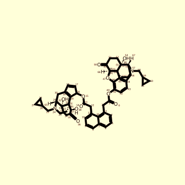 O=C(Cc1cccc2cccc(CC(=O)OC3C=CC4=C3[C@]35CCN(CC6CC6)[C@H](C4)[C@]3(O)CCC(=O)[C@@H]5O)c12)Oc1ccc2c3c1O[C@H]1C(=O)CC[C@@]4(O)[C@@H](C2)N(CC2CC2)CC[C@]314